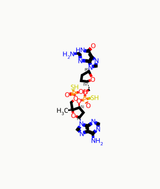 C[C@]1(COP(=O)(O)S)O[C@@H](n2cnc3c(N)ncnc32)C[C@@H]1OP(=O)(S)OC[C@@H]1CC[C@H](n2cnc3c(=O)[nH]c(N)nc32)O1